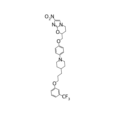 O=[N+]([O-])c1cn2c(n1)OC(COc1ccc(N3CCC(CCCOc4cccc(C(F)(F)F)c4)CC3)cc1)CC2